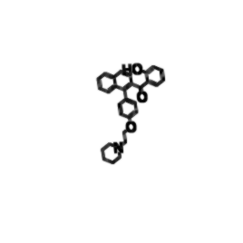 O=C(c1ccccc1O)c1ccc2ccccc2c1-c1ccc(OCCN2CCCCC2)cc1